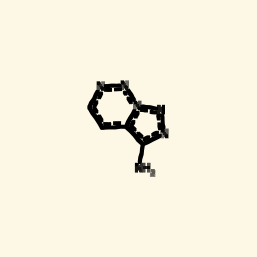 Nc1nnn2nnccc12